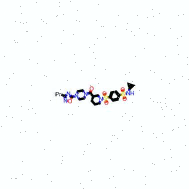 CC(C)c1noc(N2CCN(C(=O)C3CCCN(S(=O)(=O)c4ccc(S(=O)(=O)NC5CC5)cc4)C3)CC2)n1